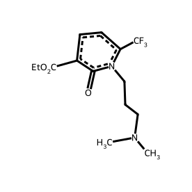 CCOC(=O)c1ccc(C(F)(F)F)n(CCCN(C)C)c1=O